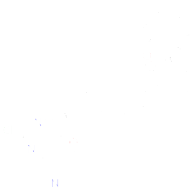 N#Cc1nc(Cl)nc2c1oc1cc(-c3ccc(-c4cccc5c4oc4ccccc45)cc3)ccc12